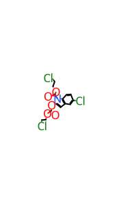 O=C(OCCCl)Oc1cc2cc(Cl)ccc2n1C(=O)OCCCl